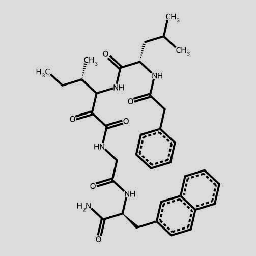 CC[C@H](C)C(NC(=O)[C@H](CC(C)C)NC(=O)Cc1ccccc1)C(=O)C(=O)NCC(=O)N[C@@H](Cc1ccc2ccccc2c1)C(N)=O